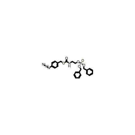 [N-]=[N+]=Nc1ccc(COC(=O)NCCOP(=O)(OCc2ccccc2)OCc2ccccc2)cc1